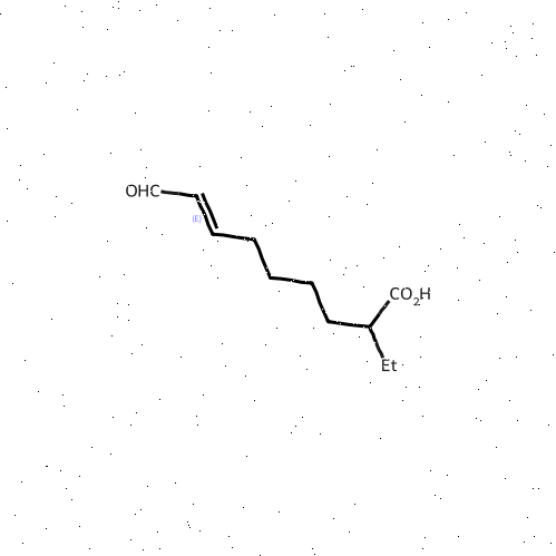 CCC(CCCC/C=C/C=O)C(=O)O